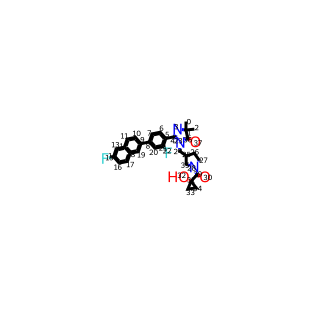 CC1(C)N=C(c2ccc(-c3ccc4cc(F)ccc4c3)cc2F)N(CC2CCN(C(=O)C3(O)CC3)C2)C1=O